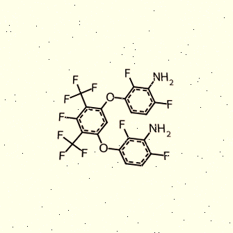 Nc1c(F)ccc(Oc2cc(Oc3ccc(F)c(N)c3F)c(C(F)(F)F)c(F)c2C(F)(F)F)c1F